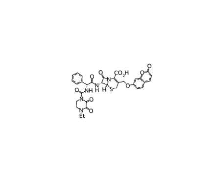 CCN1CCN(C(=O)N[C@@H](C(=O)N[C@@H]2C(=O)N3C(C(=O)O)=C(COc4ccc5ccc(=O)oc5c4)CS[C@H]23)c2ccccc2)C(=O)C1=O